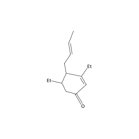 CC=CCC1C(CC)=CC(=O)CC1CC